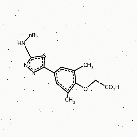 CCCCNc1nnc(-c2cc(C)c(OCC(=O)O)c(C)c2)s1